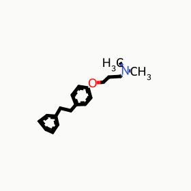 CN(C)CCCOc1ccc(CCc2ccccc2)cc1